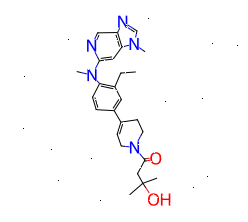 CCc1cc(C2=CCN(C(=O)CC(C)(C)O)CC2)ccc1N(C)c1cc2c(cn1)ncn2C